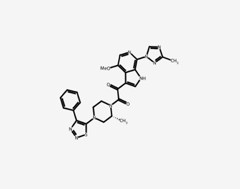 COc1cnc(-n2cnc(C)n2)c2[nH]cc(C(=O)C(=O)N3CCN(c4snnc4-c4ccccc4)C[C@H]3C)c12